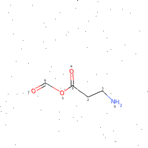 NCCC(=O)O[C]=O